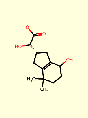 CC1(C)CCC(O)C2=C1C[C@H](C(O)C(=O)O)C2